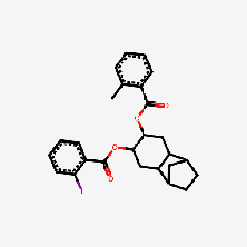 Cc1ccccc1C(=O)OC1CC2C3CCC(C3)C2CC1OC(=O)c1ccccc1I